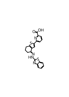 O=C(O)c1cccc(-c2cc3c(s2)CCC/C3=N\Nc2nc3ccccc3s2)n1